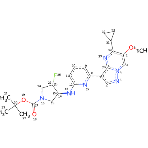 COc1cn2ncc(-c3cccc(N[C@H]4CN(C(=O)OC(C)(C)C)C[C@@H]4F)n3)c2nc1C1CC1